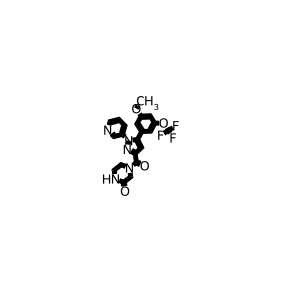 COc1cc(OC(F)(F)F)cc(-c2cc(C(=O)N3CCNC(=O)C3)nn2-c2cccnc2)c1